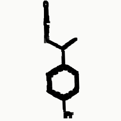 CC(C)c1ccc(C(C)N=C=O)cc1